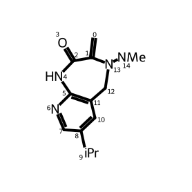 C=C1C(=O)Nc2ncc(C(C)C)cc2CN1NC